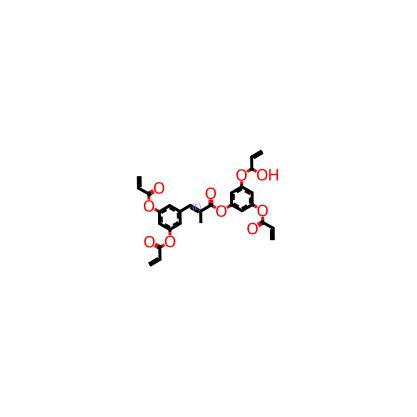 C=CC(=O)Oc1cc(/C=C(\C)C(=O)Oc2cc(OC(=O)C=C)cc(OC(O)C=C)c2)cc(OC(=O)C=C)c1